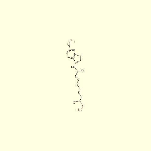 COC(=O)CCCCCCC(=O)NC1CCc2cc(OC)ccc21